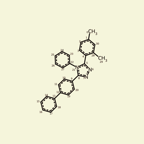 Cc1ccc(-c2nnc(-c3ccc(-c4ccccc4)cc3)n2-c2ccccc2)c(C)c1